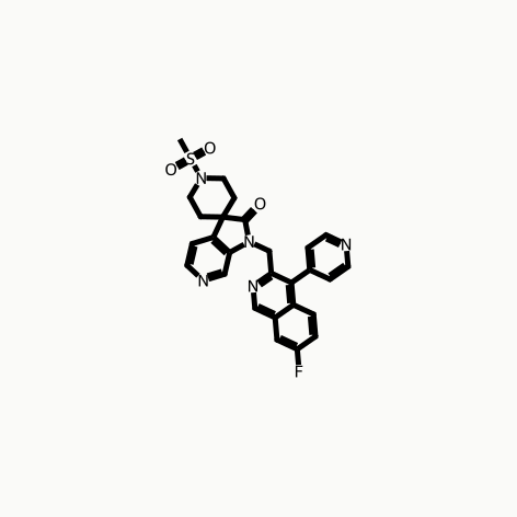 CS(=O)(=O)N1CCC2(CC1)C(=O)N(Cc1ncc3cc(F)ccc3c1-c1ccncc1)c1cnccc12